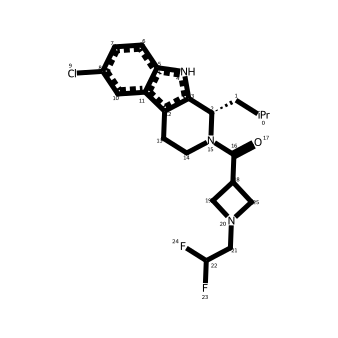 CC(C)C[C@H]1c2[nH]c3ccc(Cl)cc3c2CCN1C(=O)C1CN(CC(F)F)C1